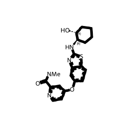 CNC(=O)c1cc(Oc2ccc3sc(N[C@@H]4CCCC[C@H]4O)nc3c2)ccn1